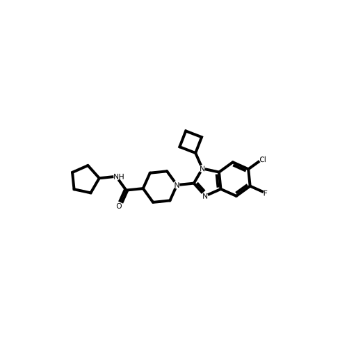 O=C(NC1CCCC1)C1CCN(c2nc3cc(F)c(Cl)cc3n2C2CCC2)CC1